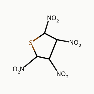 O=[N+]([O-])C1SC([N+](=O)[O-])C([N+](=O)[O-])C1[N+](=O)[O-]